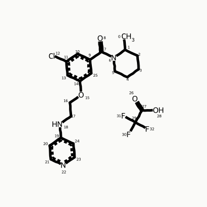 CC1CCCCN1C(=O)c1cc(Cl)cc(OCCNc2ccncc2)c1.O=C(O)C(F)(F)F